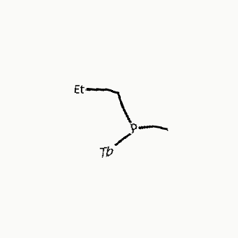 CCC[P](C)[Tb]